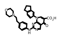 O=C(O)c1cn(-c2ccc3c(c2)CCC3)c2nc(Nc3ccc(CCN4CCOCC4)cc3)ncc2c1=O